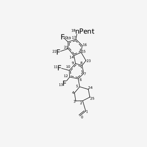 C=CC1CCC(c2cc3c(c(F)c2F)-c2c(cc(CCCCC)c(F)c2F)C3)CC1